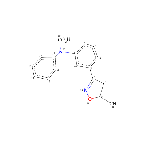 N#CC1CC(c2cccc(N(C(=O)O)c3ccccc3)c2)=NO1